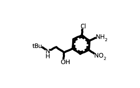 CC(C)(C)NCC(O)c1cc(Cl)c(N)c([N+](=O)[O-])c1